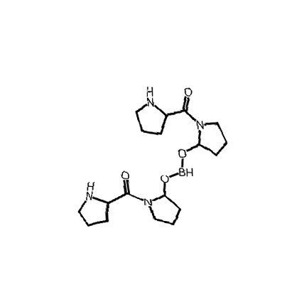 O=C(C1CCCN1)N1CCCC1OBOC1CCCN1C(=O)C1CCCN1